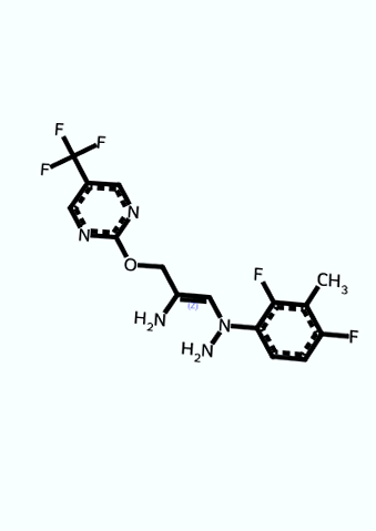 Cc1c(F)ccc(N(N)/C=C(\N)COc2ncc(C(F)(F)F)cn2)c1F